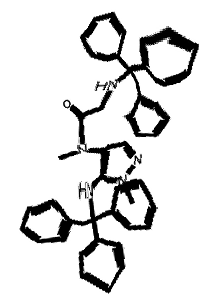 CN(C(=O)CNC(c1ccccc1)(c1ccccc1)c1ccccc1)c1cnn(C)c1NC(c1ccccc1)(c1ccccc1)c1ccccc1